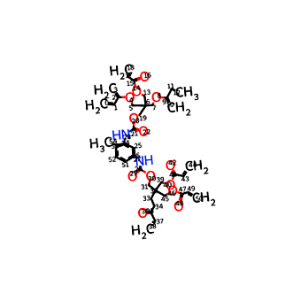 C=CC(=C)OCC(COC(=C)CC)(COC(=O)C=C)COC(=O)Nc1cc(NC(=O)OCC(CCC(=O)C=C)(COC(=O)C=C)COC(=O)C=C)ccc1C